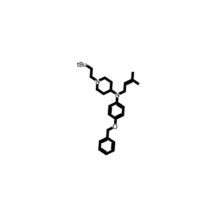 CC(C)=CCN(c1ccc(OCc2ccccc2)cc1)C1CCN(CCC(C)(C)C)CC1